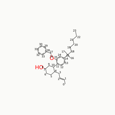 CC=CCC1CCC(O)CC1c1ccc(C(C)(C)CCCCCC)cc1OCc1ccccc1